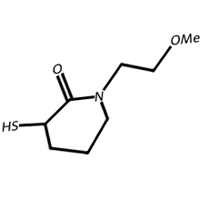 COCCN1CCCC(S)C1=O